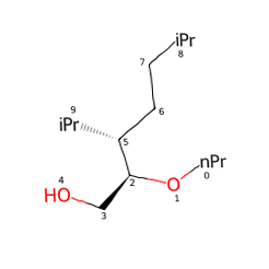 CCCO[C@@H](CO)[C@@H](CCC(C)C)C(C)C